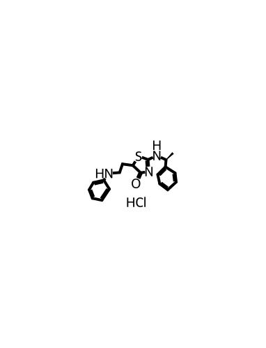 C[C@H](NC1=NC(=O)C(CCNc2ccccc2)S1)c1ccccc1.Cl